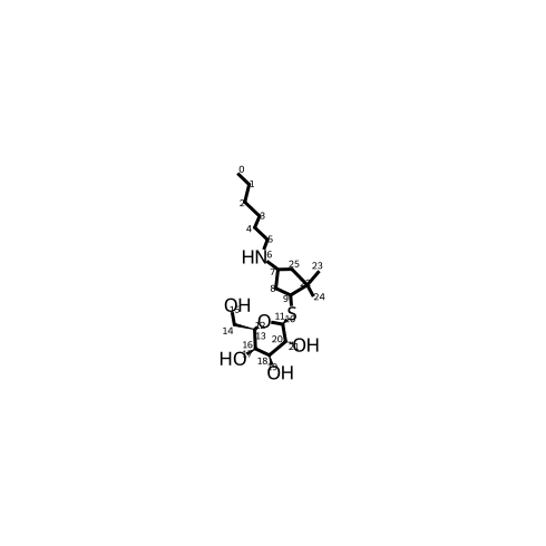 CCCCCCNC1CC(S[C@@H]2O[C@H](CO)[C@H](O)[C@H](O)[C@H]2O)C(C)(C)C1